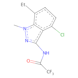 CCc1ccc(Cl)c2c(NC(=O)C(F)(F)F)nn(C)c12